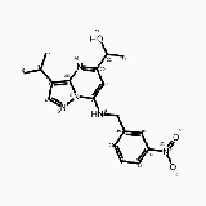 CC(C)c1cnn2c(NCc3cccc([N+](=O)[O-])c3)cc(C(C)O)nc12